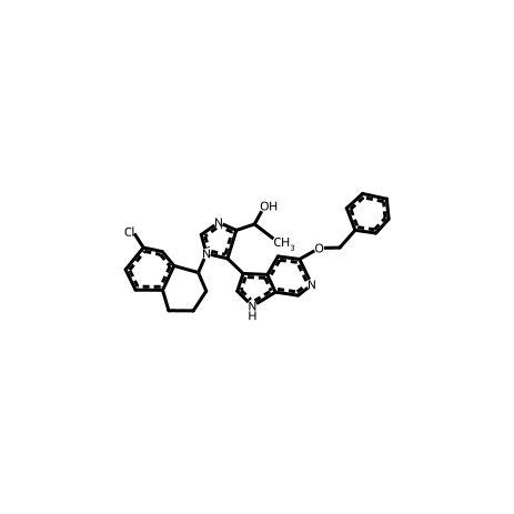 CC(O)c1ncn(C2CCCc3ccc(Cl)cc32)c1-c1c[nH]c2cnc(OCc3ccccc3)cc12